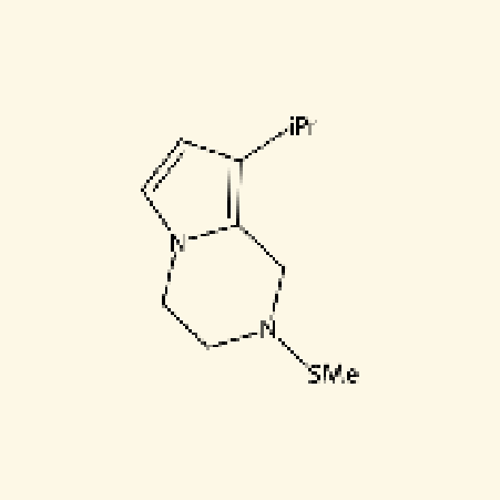 CSN1CCn2ccc(C(C)C)c2C1